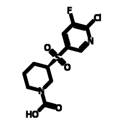 O=C(O)N1CCC[C@@H](S(=O)(=O)c2cnc(Cl)c(F)c2)C1